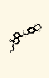 O=C(Cc1ccc2c(c1)OCCO2)Nc1cccc2c(=O)n(CCO)ccc12